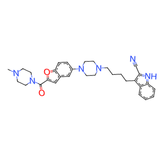 CN1CCN(C(=O)c2cc3cc(N4CCN(CCCCc5c(C#N)[nH]c6ccccc56)CC4)ccc3o2)CC1